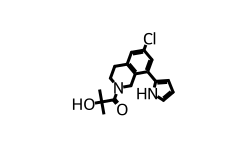 CC(C)(O)C(=O)N1CCc2cc(Cl)cc(-c3ccc[nH]3)c2C1